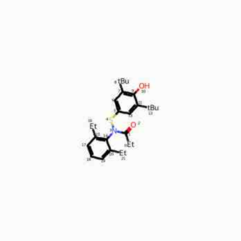 CCC(=O)N(Sc1cc(C(C)(C)C)c(O)c(C(C)(C)C)c1)c1c(CC)cccc1CC